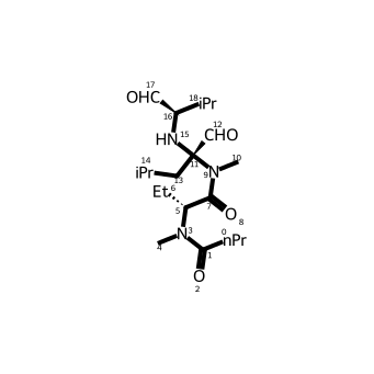 CCCC(=O)N(C)[C@H](CC)C(=O)N(C)[C@](C=O)(CC(C)C)N[C@@H](C=O)C(C)C